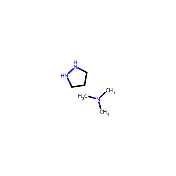 C1CNNC1.CN(C)C